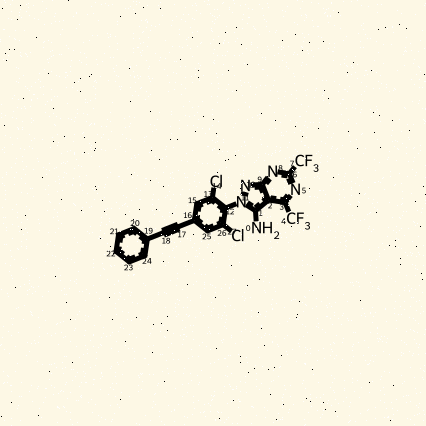 Nc1c2c(C(F)(F)F)nc(C(F)(F)F)nc2nn1-c1c(Cl)cc(C#Cc2ccccc2)cc1Cl